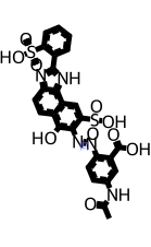 CC(=O)Nc1ccc(/N=N/c2c(S(=O)(=O)O)cc3c(ccc4nc(-c5ccccc5S(=O)(=O)O)[nH]c43)c2O)c(C(=O)O)c1